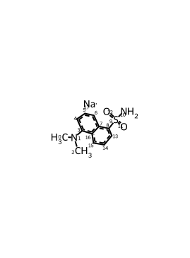 CN(C)c1cccc2c(S(N)(=O)=O)cccc12.[Na]